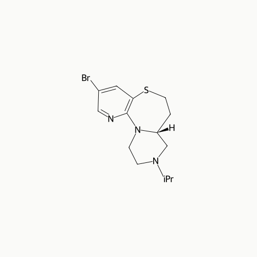 CC(C)N1CCN2c3ncc(Br)cc3SCC[C@@H]2C1